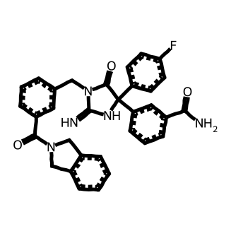 N=C1NC(c2ccc(F)cc2)(c2cccc(C(N)=O)c2)C(=O)N1Cc1cccc(C(=O)N2Cc3ccccc3C2)c1